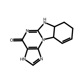 O=c1nc2n(c3nc[nH]c13)C1C=CCCC1N2